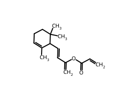 C=CC(=O)OC(=C)C=CC1C(C)=CCCC1(C)C